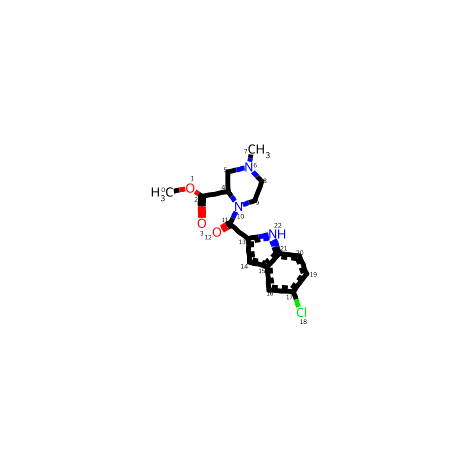 COC(=O)C1CN(C)CCN1C(=O)c1cc2cc(Cl)ccc2[nH]1